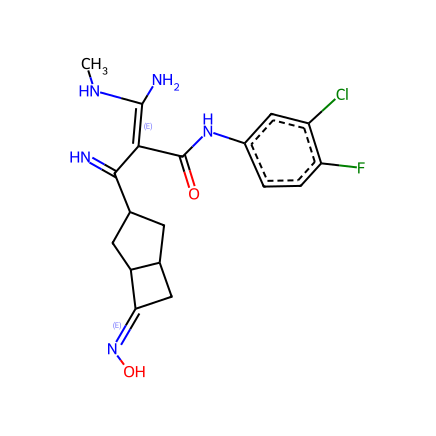 CN/C(N)=C(\C(=N)C1CC2C/C(=N\O)C2C1)C(=O)Nc1ccc(F)c(Cl)c1